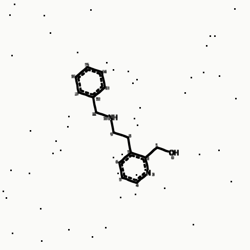 OCc1ncccc1CCNCc1ccccc1